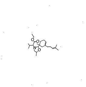 CCOC(=O)C(C(C)C)N1CC(C)OC1C1(C)CCC=C(CCC=C(C)C)C1